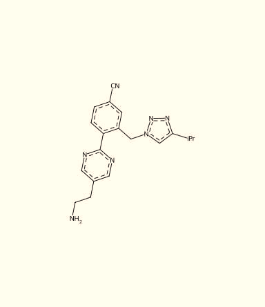 CC(C)c1cn(Cc2cc(C#N)ccc2-c2ncc(CCN)cn2)nn1